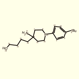 CC(C)(C)c1ccc(N2CCC(N)(CCCCO)CC2)cc1